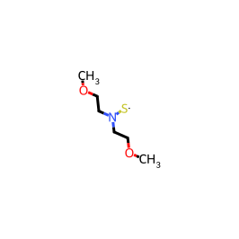 COCCN([S])CCOC